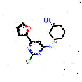 N[C@@H]1CCC[C@H](Nc2cc(-c3ccco3)nc(Cl)n2)C1